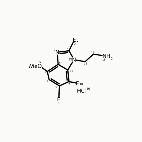 CCc1nc2c(OC)cc(F)c(F)c2n1CCN.Cl